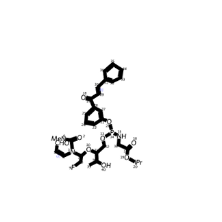 CNC(=O)N(/C=C\C=O)C(CF)OC(COP(NCC(=O)OC(C)C)Oc1cccc(C(=O)/C=C/c2ccccc2)c1)C(C)O